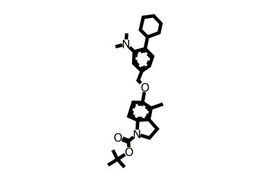 Cc1c(OCc2ccc(C3CCCCC3)c(N(C)C)c2)ccc2c1CCN2C(=O)OC(C)(C)C